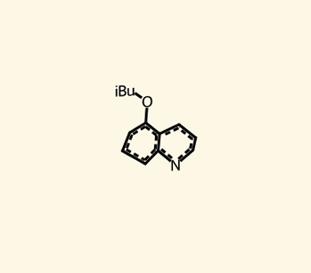 CCC(C)Oc1cccc2ncccc12